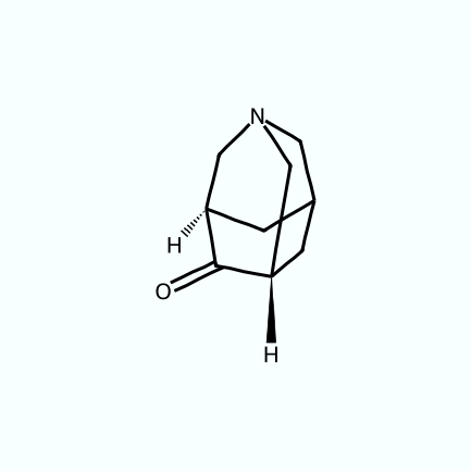 O=C1[C@@H]2CC3C[C@H]1CN(C3)C2